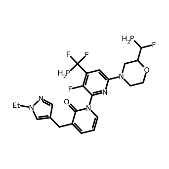 CCn1cc(Cc2cccn(-c3nc(N4CCOC(C(F)P)C4)cc(C(F)(F)P)c3F)c2=O)cn1